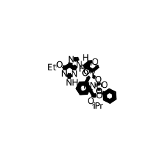 CCOc1nc(N)nc2c1ncn2[C@H]1O[C@@]2(COP(=O)(N[C@H](C)C(=O)OC(C)C)Oc3ccccc3)CO[C@@H]1[C@@H]2OCc1ccccc1